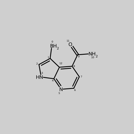 Bc1c[nH]c2nccc(C(N)=O)c12